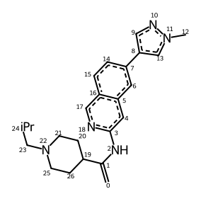 C=C(Nc1cc2cc(-c3cnn(C)c3)ccc2cn1)C1CCN(CC(C)C)CC1